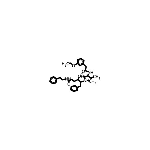 CCOc1cccc(CC(=O)NC(C(=O)NC(Cc2ccccc2)C(O)CCC(=O)NCCc2ccccc2)C(C)C)c1